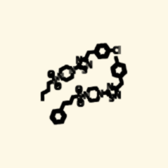 CCCCS(=O)(=O)N1CCN(c2nc(Cc3ccc(Cl)cc3)ns2)CC1.Cc1ccc(Cc2nsc(N3CCN(S(=O)(=O)CC=Cc4ccccc4)CC3)n2)cc1